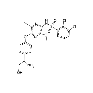 COc1nc(Oc2ccc(C(N)CO)cc2)c(C)nc1NS(=O)(=O)c1cccc(Cl)c1Cl